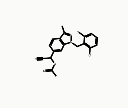 CC(=O)OC(C#N)c1ccc2c(C)nn(Cc3c(Cl)cccc3Cl)c2c1